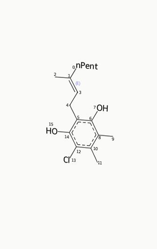 CCCCC/C(C)=C/Cc1c(O)c(C)c(C)c(Cl)c1O